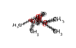 CCCCCCCCCCOC(CCCCOC(OCc1ccccc1)OC(OCCCCC(OCCCCCCCCCC)OCCCCCCCCCC)OCc1ccccc1)OCCCCCCCCCC